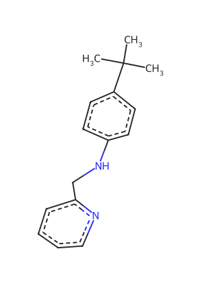 CC(C)(C)c1ccc(NCc2ccccn2)cc1